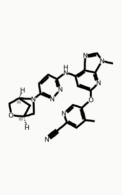 Cc1cc(C#N)ncc1Oc1cc(Nc2ccc(N3C[C@@H]4C[C@H]3CO4)nn2)c2ncn(C)c2n1